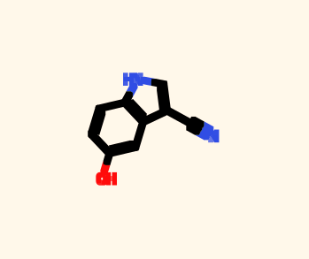 N#Cc1c[nH]c2ccc(O)cc12